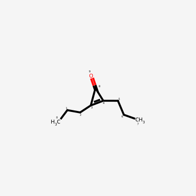 CCCc1c(CCC)c1=O